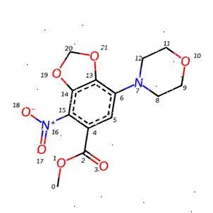 COC(=O)c1cc(N2CCOCC2)c2c(c1[N+](=O)[O-])OCO2